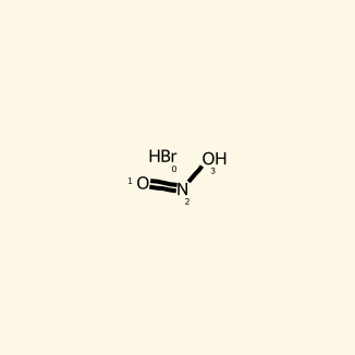 Br.O=NO